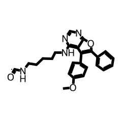 COc1ccc(-c2c(-c3ccccc3)oc3ncnc(NCCCCCN[C]=O)c23)cc1